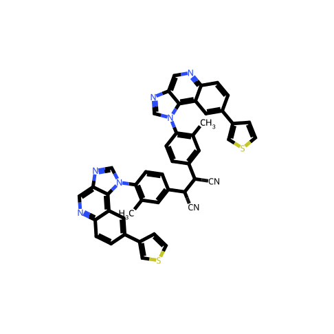 Cc1cc(C(C#N)C(C#N)c2ccc(-n3cnc4cnc5ccc(-c6ccsc6)cc5c43)c(C)c2)ccc1-n1cnc2cnc3ccc(-c4ccsc4)cc3c21